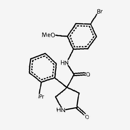 COc1cc(Br)ccc1NC(=O)C1(c2ccccc2C(C)C)CNC(=O)C1